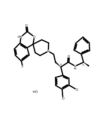 C[C@@H](NC(=O)[C@H](CCN1CCC2(CC1)OC(=O)Nc1ccc(F)cc12)c1ccc(Cl)c(Cl)c1)c1ccccc1.Cl